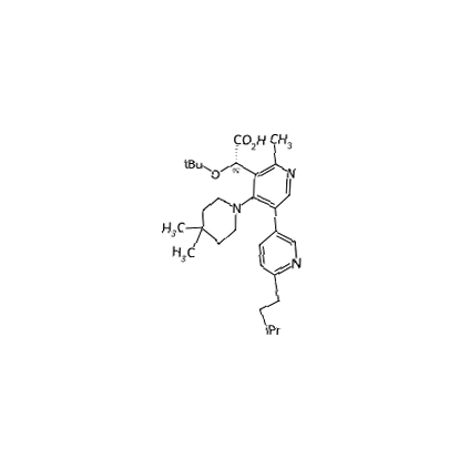 Cc1ncc(-c2ccc(CCC(C)C)nc2)c(N2CCC(C)(C)CC2)c1[C@H](OC(C)(C)C)C(=O)O